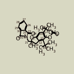 CC(=O)Oc1c(C(C)(C)C)cc2c(c1C(C)(C)C)CC(C)(CN1C(=O)c3ccccc3C1=O)O2